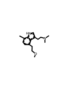 COCCc1ccc(C)c2[nH]cc(CCN(C)C)c12